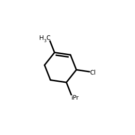 CC1=CC(Cl)C(C(C)C)CC1